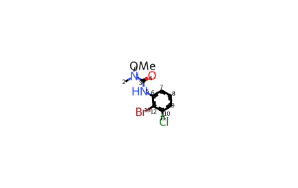 CON(C)C(=O)Nc1cccc(Cl)c1Br